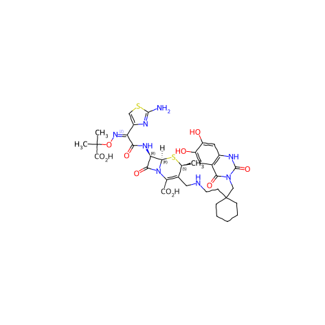 C[C@@H]1S[C@@H]2[C@H](NC(=O)/C(=N\OC(C)(C)C(=O)O)c3csc(N)n3)C(=O)N2C(C(=O)O)=C1CNCCC1(Cn2c(=O)[nH]c3cc(O)c(O)cc3c2=O)CCCCC1